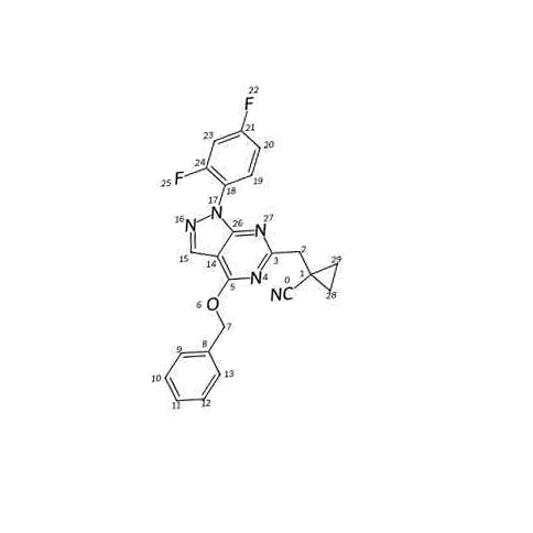 N#CC1(Cc2nc(OCc3ccccc3)c3cnn(-c4ccc(F)cc4F)c3n2)CC1